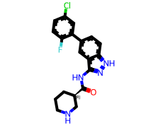 O=C(Nc1n[nH]c2ccc(-c3cc(Cl)ccc3F)cc12)[C@@H]1CCCNC1